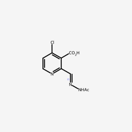 CC(=O)N/N=C/c1nccc(Cl)c1C(=O)O